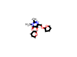 Cc1nc(COC2CCCCO2)c(OC2CCCCO2)c(=O)n1C